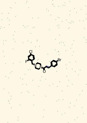 O=C(/C=C/c1ccc(Br)cc1)N1CCN(Cc2ccc(Cl)cc2F)CC1